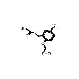 CC(C)(C)C(=O)OCc1cc(C(F)(F)F)ccc1OCC=O